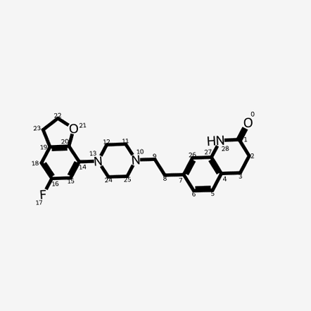 O=C1CCc2ccc(CCN3CCN(c4cc(F)cc5c4OCC5)CC3)cc2N1